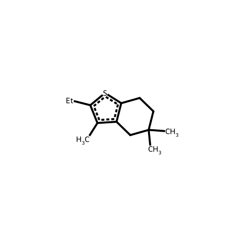 CCc1sc2c(c1C)CC(C)(C)CC2